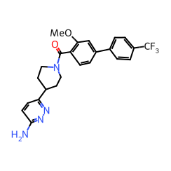 COc1cc(-c2ccc(C(F)(F)F)cc2)ccc1C(=O)N1CCC(c2ccc(N)nn2)CC1